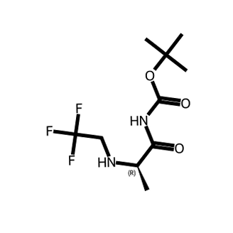 C[C@@H](NCC(F)(F)F)C(=O)NC(=O)OC(C)(C)C